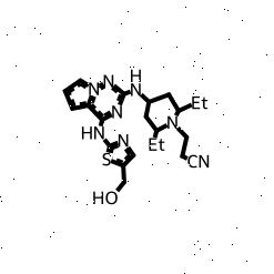 CCC1CC(Nc2nc(Nc3ncc(CO)s3)c3cccn3n2)CC(CC)N1CCC#N